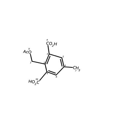 CC(=O)OCc1c(C(=O)O)cc(C)cc1C(=O)O